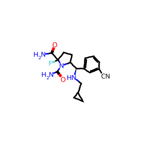 N#Cc1cccc([C@@H](NCC2CC2)C2CCC(F)(C(N)=O)N2C(N)=O)c1